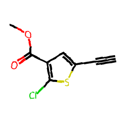 C#Cc1cc(C(=O)OC)c(Cl)s1